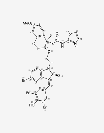 COc1ccc2c(c1)CCN(OCCN1C(=O)C(=Cc3cc(Br)c(O)c(Br)c3)c3cc(Br)ccc31)C2(C)CC(=O)Nc1nccs1